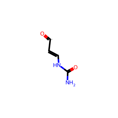 NC(=O)NC=C[C]=O